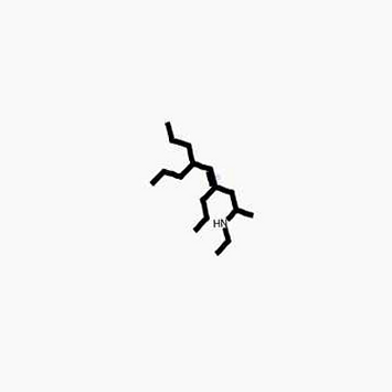 CCC/C(=C\C(CCC)CCC)CC(C)NCC